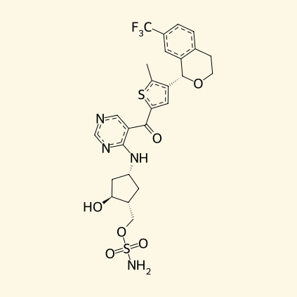 Cc1sc(C(=O)c2cncnc2N[C@@H]2C[C@H](COS(N)(=O)=O)[C@@H](O)C2)cc1[C@H]1OCCc2ccc(C(F)(F)F)cc21